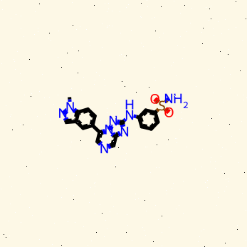 Cn1ncc2cc(-c3cncc4nc(Nc5cccc(S(N)(=O)=O)c5)nn34)ccc21